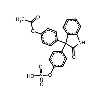 CC(=O)Oc1ccc(C2(c3ccc(OS(=O)(=O)O)cc3)C(=O)Nc3ccccc32)cc1